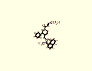 C[C@@H](NCC1CCN(C(=O)/C=C/C(=O)O)CC1c1ccccc1)c1cccc2ccccc12